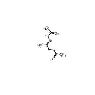 CC(=O)CCC(C)=NOC(C)=O